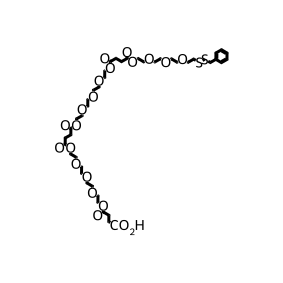 O=C(O)CCC(=O)OCCOCCOCCOCCOC(=O)CCC(=O)OCCOCCOCCOCCOC(=O)CCC(=O)OCCOCCOCCOCCSSCc1ccccc1